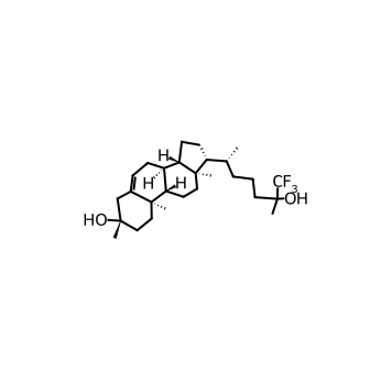 C[C@H](CCCC(C)(O)C(F)(F)F)[C@H]1CC[C@H]2[C@@H]3CC=C4C[C@@](C)(O)CC[C@]4(C)[C@H]3CC[C@]12C